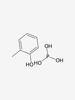 Cc1ccccc1O.OP(O)O